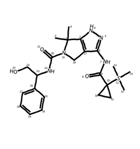 CC1(C)c2[nH]nc(NC(=O)C3(S(C)(C)C)CC3)c2CN1C(=O)NC(CO)c1ccccc1